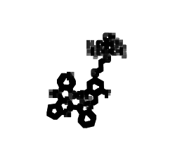 COc1cnccc1Nc1nc(-c2nn(Cc3c(F)cc(OCCO[Si](C)(C)C(C)(C)C)cc3F)c3ccccc23)nc2c1CCC2